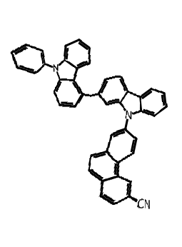 N#Cc1ccc2ccc3cc(-n4c5ccccc5c5ccc(-c6cccc7c6c6ccccc6n7-c6ccccc6)cc54)ccc3c2c1